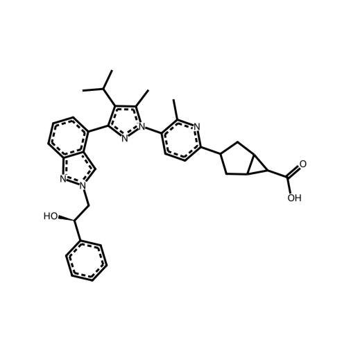 Cc1nc(C2CC3C(C2)C3C(=O)O)ccc1-n1nc(-c2cccc3nn(C[C@H](O)c4ccccc4)cc23)c(C(C)C)c1C